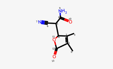 CC1=C(C)C(C(C#N)C(N)=O)OC1=O